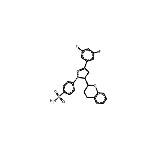 NS(=O)(=O)c1ccc(N2N=C(c3cc(F)cc(F)c3)CC2C2CCc3ccccc3O2)cc1